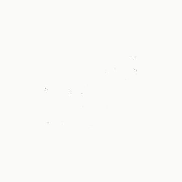 O=C(c1csc(-c2cn[nH]c2)c1)N1CCNC2CCCC=C21.O=CO